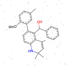 COc1ccc(C)cc1-c1ccc2c(c1C(O)c1ccccc1)C(C)=CC(C)(C)N2